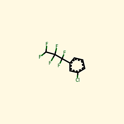 FC(F)C(F)(F)C(F)(F)c1cccc(Cl)c1